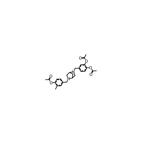 CC(=O)Oc1ccc(CN2CC3CC2CN3Cc2ccc(OC(C)=O)c(OC(C)=O)c2)cc1C